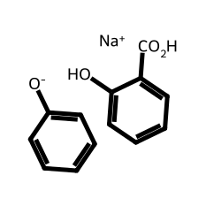 O=C(O)c1ccccc1O.[Na+].[O-]c1ccccc1